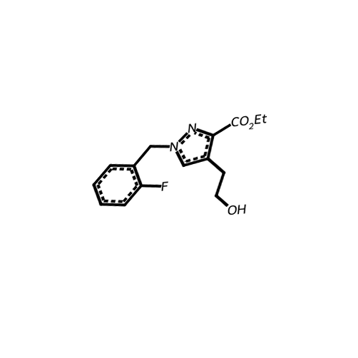 CCOC(=O)c1nn(Cc2ccccc2F)cc1CCO